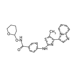 Cc1sc(Nc2ccc(C(=O)NOC3CCCCO3)cc2)nc1-c1cnc2ccccn12